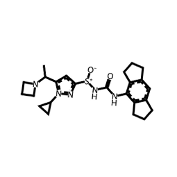 CC(c1cc([S+]([O-])NC(=O)Nc2c3c(cc4c2CCC4)CCC3)nn1C1CC1)N1CCC1